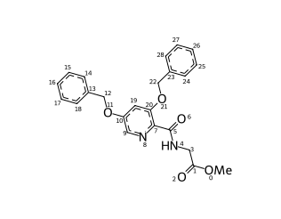 COC(=O)CNC(=O)c1ncc(OCc2ccccc2)cc1OCc1ccccc1